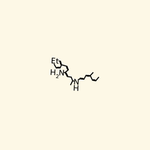 C\C=C/C(C)=C\C=C\NC(C)C\C=C(N)/C=C\C(\C=C/C)=C\CC